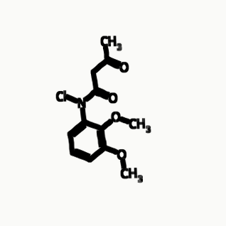 COc1cccc(N(Cl)C(=O)CC(C)=O)c1OC